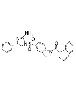 NC1=N[C@@H](c2ccccc2)CN1S(=O)(=O)c1ccc2c(c1)CCN2C(=O)c1cccc2ccccc12